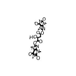 Cn1c(=O)c2c(nc(OC(=O)CC(O)C(=O)Oc3nc4c(c(=O)n(C)c(=O)n4C)n3C)n2C)n(C)c1=O